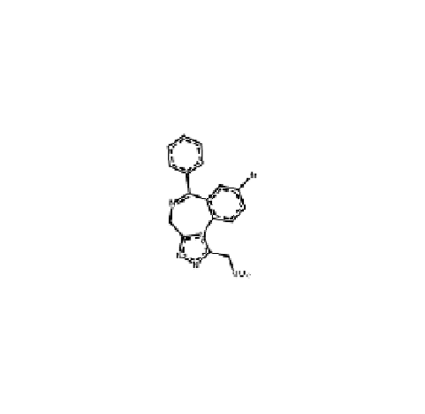 CNCc1nnc2n1-c1ccc(Br)cc1C(c1ccccc1)=NC2